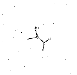 CCN(C)C(C)Cl